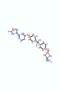 Cc1nc(-c2cccc(Oc3ccc(C(C)(C)c4ccc(OC5CC(N)C5)cc4)cc3)n2)no1